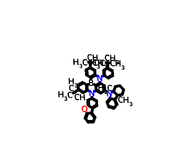 CC(C)(C)c1cccc(N2c3cc(C(C)(C)C)ccc3B3c4ccc(C(C)(C)C)cc4N(c4ccc5c(c4)oc4ccccc45)c4cc(N5c6ccccc6C6(C)CCCCC56C)cc2c43)c1